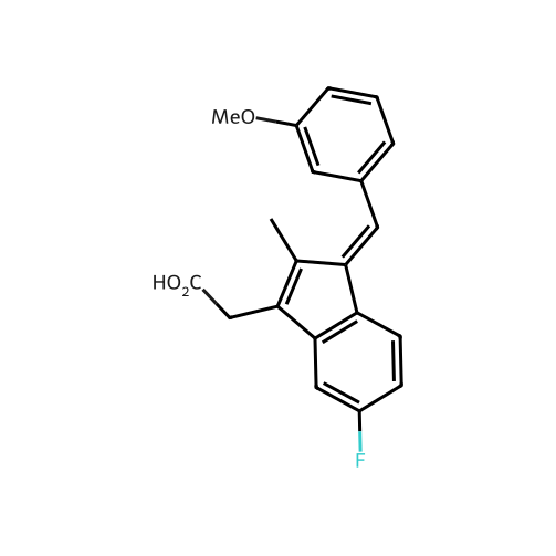 COc1cccc(C=C2C(C)=C(CC(=O)O)c3cc(F)ccc32)c1